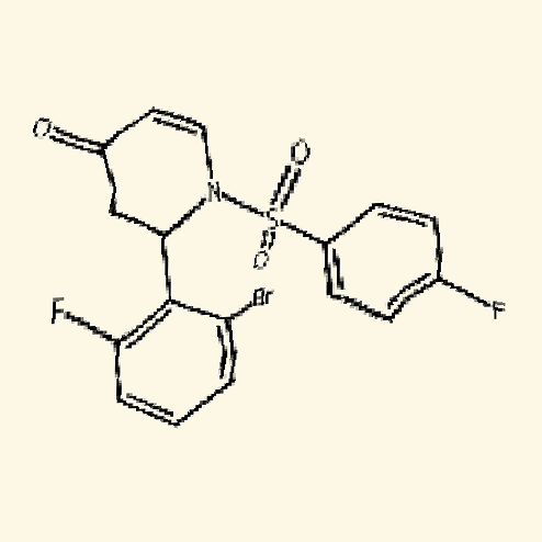 O=C1C=CN(S(=O)(=O)c2ccc(F)cc2)C(c2c(F)cccc2Br)C1